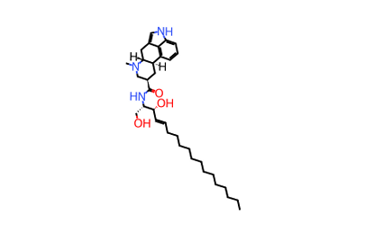 CCCCCCCCCCCCC/C=C/[C@@H](O)[C@H](CO)NC(=O)[C@@H]1C[C@@H]2c3cccc4[nH]cc(c34)C[C@H]2N(C)C1